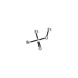 CCOP(=O)(Br)CC